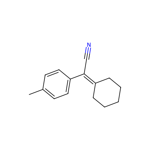 Cc1ccc(C(C#N)=C2CCCCC2)cc1